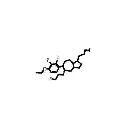 CCOc1ccc(C2CCC3C(CCCF)CCC3CC2CCCF)c(F)c1F